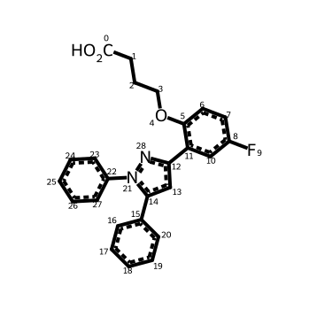 O=C(O)CCCOc1ccc(F)cc1-c1cc(-c2ccccc2)n(-c2ccccc2)n1